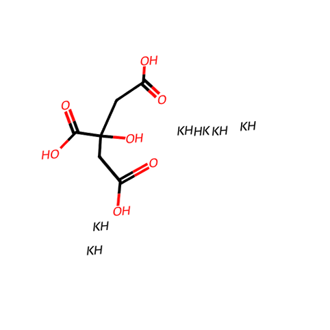 O=C(O)CC(O)(CC(=O)O)C(=O)O.[KH].[KH].[KH].[KH].[KH].[KH]